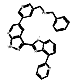 c1ccc(CNCc2cncc(-c3cnc4[nH]nc(-c5nc6c(-c7ccccn7)cccc6[nH]5)c4c3)c2)cc1